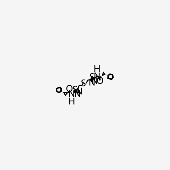 O=C(Nc1nnc(CCSCCc2nnc(NC(=O)[C@H]3C[C@@H]3c3ccccc3)s2)s1)[C@H]1C[C@@H]1c1ccccc1